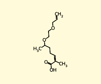 C=CCOCCOC(C)CCC=C(C)C(=O)O